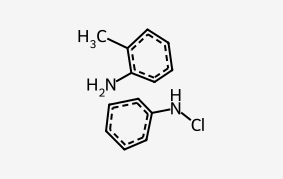 Cc1ccccc1N.ClNc1ccccc1